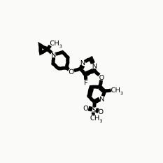 Cc1nc(S(C)(=O)=O)ccc1Oc1ncnc(OC2CCN(C3(C)CC3)CC2)c1F